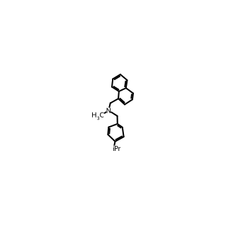 CC(C)c1ccc(CN(C)Cc2cccc3ccccc23)cc1